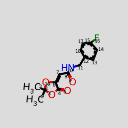 CC1(C)OC(=O)C(=CC(=O)NCc2ccc(F)cc2)O1